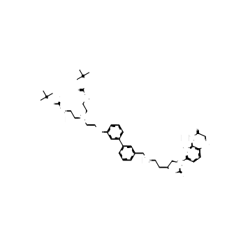 CC(C)(C)OC(=O)NCCN(CCNC(=O)OC(C)(C)C)CCOc1cccc(-c2cccc(CNCCC3CN(c4ccc5c(n4)NC(=O)CO5)C(=O)O3)c2)c1